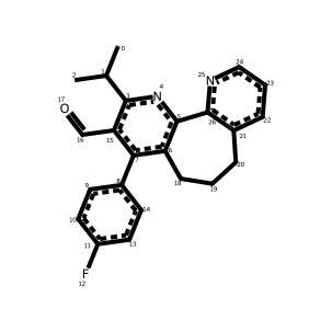 CC(C)c1nc2c(c(-c3ccc(F)cc3)c1C=O)CCCc1cccnc1-2